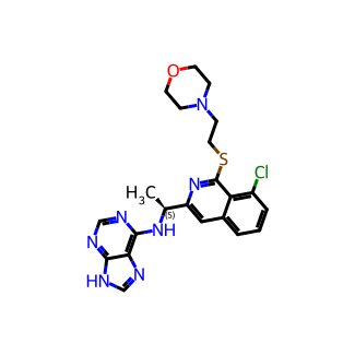 C[C@H](Nc1ncnc2[nH]cnc12)c1cc2cccc(Cl)c2c(SCCN2CCOCC2)n1